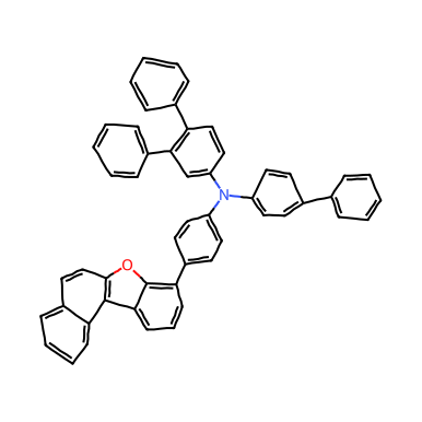 c1ccc(-c2ccc(N(c3ccc(-c4cccc5c4oc4ccc6ccccc6c45)cc3)c3ccc(-c4ccccc4)c(-c4ccccc4)c3)cc2)cc1